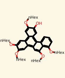 CCCCCCOc1cc2c3cc(OCCCCCC)c(OCCCCCC)cc3c3cc(OCCCCCC)c4c(OCCCCCC)cccc4c3c2cc1O